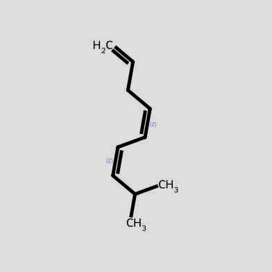 C=CC/C=C\C=C/C(C)C